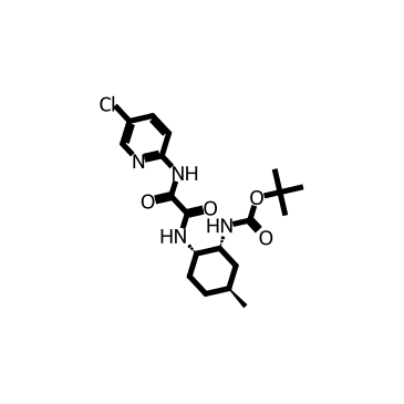 C[C@H]1CC[C@H](NC(=O)C(=O)Nc2ccc(Cl)cn2)[C@H](NC(=O)OC(C)(C)C)C1